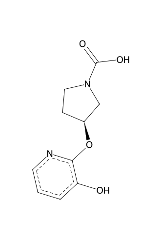 O=C(O)N1CC[C@H](Oc2ncccc2O)C1